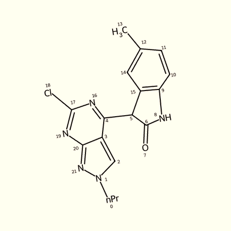 CCCn1cc2c(C3C(=O)Nc4ccc(C)cc43)nc(Cl)nc2n1